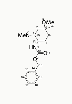 CN[C@@H]1CC(C)(OC)CC[C@@H]1NC(=O)OCc1ccccc1